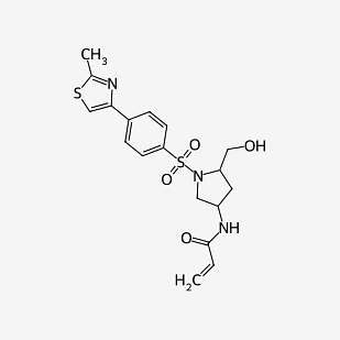 C=CC(=O)NC1CC(CO)N(S(=O)(=O)c2ccc(-c3csc(C)n3)cc2)C1